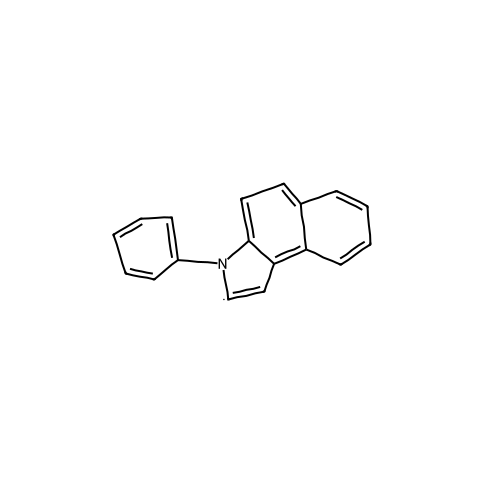 [c]1cc2c3ccccc3ccc2n1-c1ccccc1